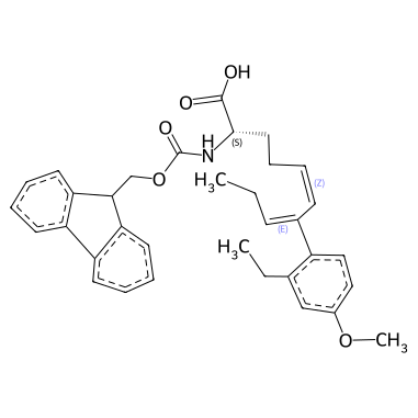 CC/C=C(\C=C/CC[C@H](NC(=O)OCC1c2ccccc2-c2ccccc21)C(=O)O)c1ccc(OC)cc1CC